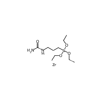 CCO[Si](CCCNC(N)=O)(OCC)OCC.[Zr]